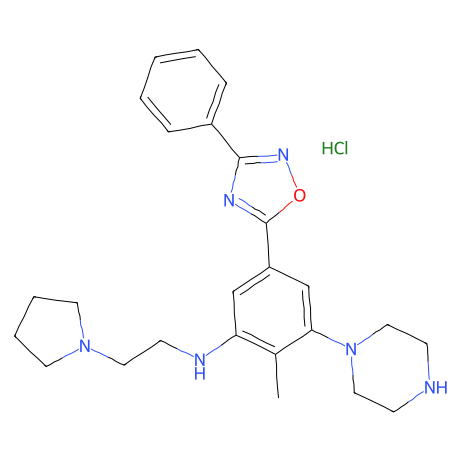 Cc1c(NCCN2CCCC2)cc(-c2nc(-c3ccccc3)no2)cc1N1CCNCC1.Cl